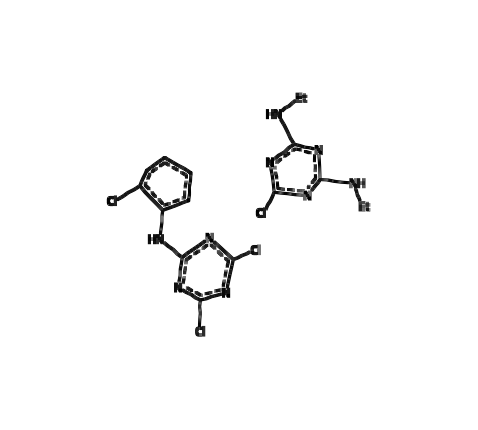 CCNc1nc(Cl)nc(NCC)n1.Clc1nc(Cl)nc(Nc2ccccc2Cl)n1